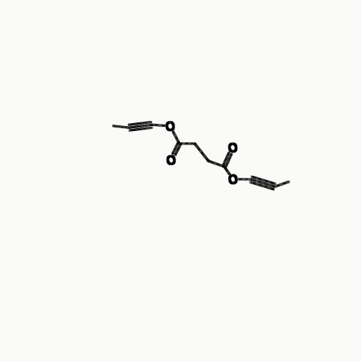 CC#COC(=O)CCC(=O)OC#CC